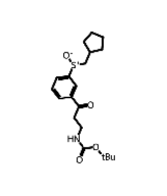 CC(C)(C)OC(=O)NCCC(=O)c1cccc([S+]([O-])CC2CCCC2)c1